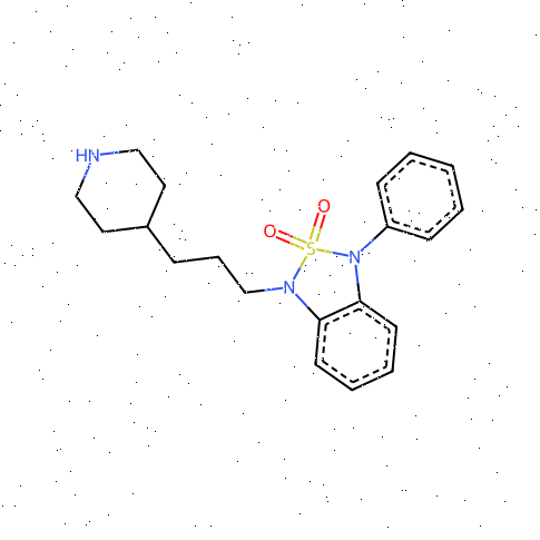 O=S1(=O)N(CCCC2CCNCC2)c2ccccc2N1c1ccccc1